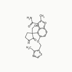 Cc1ncsc1COc1ccc2oc(C)c(C(N)=O)c2c1C1(CO)CCNC1=O